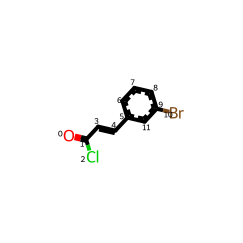 O=C(Cl)C=Cc1cccc(Br)c1